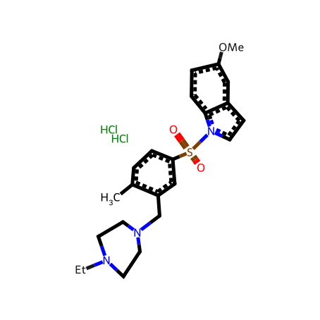 CCN1CCN(Cc2cc(S(=O)(=O)n3ccc4cc(OC)ccc43)ccc2C)CC1.Cl.Cl